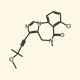 COC(C)(C)C#Cc1ncn2c1CN(C)C(=O)c1c(Cl)cccc1-2